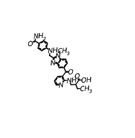 CCC(CNc1ncccc1C(=O)c1ccc2c(c1)nc(CNc1ccc(C(N)=O)cc1)n2C)C(=O)O